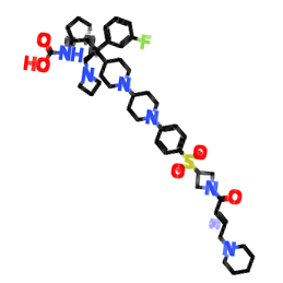 O=C(O)N[C@H]1CCC[C@@H]1[C@](CN1CCC1)(c1cccc(F)c1)C1CCN(C2CCN(c3ccc(S(=O)(=O)C4CN(C(=O)/C=C/CN5CCCCC5)C4)cc3)CC2)CC1